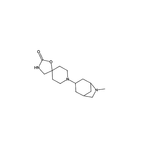 CN1CC2CC1CC(N1CCC3(CC1)CNC(=O)O3)C2